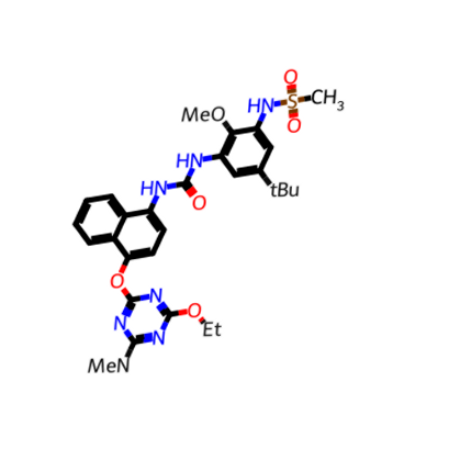 CCOc1nc(NC)nc(Oc2ccc(NC(=O)Nc3cc(C(C)(C)C)cc(NS(C)(=O)=O)c3OC)c3ccccc23)n1